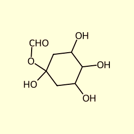 O=COC1(O)CC(O)C(O)C(O)C1